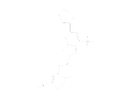 O=C(Nc1cc(C(F)(F)F)ccc1Cl)c1cc2nc(-c3ccccc3)cc(C(F)(F)F)n2n1